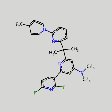 CN(C)c1cc(-c2ccc(F)nc2F)nc(C(C)(C)c2cccc(N3C=C=C(C(F)(F)F)C=C3)n2)c1